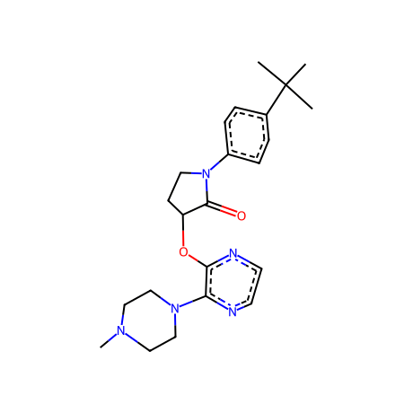 CN1CCN(c2nccnc2OC2CCN(c3ccc(C(C)(C)C)cc3)C2=O)CC1